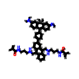 C=C(C)C(=O)NCCCNCc1c2ccccc2c(CNCCCNC(=O)C(=C)C)c2cc(-c3ccc(C4=C5C=C/C(=N\C)C=C5[Si](C)(C)c5cc(N(C)C)ccc54)cc3)ccc12